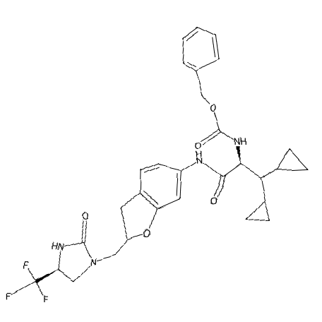 O=C(N[C@H](C(=O)Nc1ccc2c(c1)OC(CN1C[C@@H](C(F)(F)F)NC1=O)C2)C(C1CC1)C1CC1)OCc1ccccc1